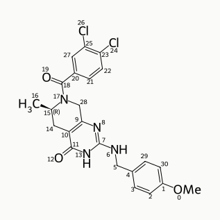 COc1ccc(CNc2nc3c(c(=O)[nH]2)C[C@@H](C)N(C(=O)c2ccc(Cl)c(Cl)c2)C3)cc1